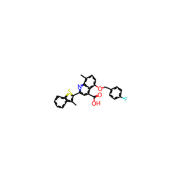 Cc1c(-c2cc(C(=O)O)c3c(OCc4ccc(F)cc4)ccc(C)c3n2)sc2ccccc12